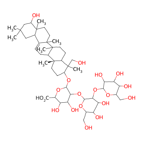 CC1(C)CC(O)C2(C)CCC3(C)C(=CCC4C3(C)CCC3C(C)(CO)C(OC5OC(C(=O)O)C(O)C(O)C5OC5OC(CO)C(O)C(O)C5OC5OC(CO)C(O)C(O)C5O)CC[C@@]34C)C2C1